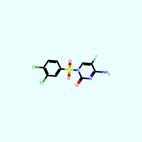 Nc1nc(=O)n(S(=O)(=O)c2ccc(Cl)c(Cl)c2)cc1F